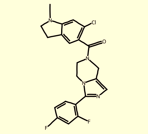 CN1CCc2cc(C(=O)N3CCn4c(cnc4-c4ccc(F)cc4F)C3)c(Cl)cc21